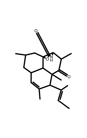 C/C=C(\C)C1C(C)=CC2CC(C)CC34OC(=O)NC3C(C)C(=O)C1(C)C24